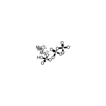 O=P([O-])([O-])O.O=P([O-])([O-])OP(=O)([O-])[O-].[Mg+2].[Mg+2].[Mg+2]